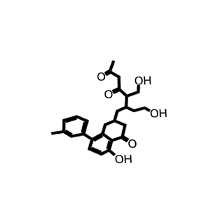 CC(=O)CC(=O)C(CO)C(CCO)CC1CC(=O)c2c(O)ccc(-c3cccc(C)c3)c2C1